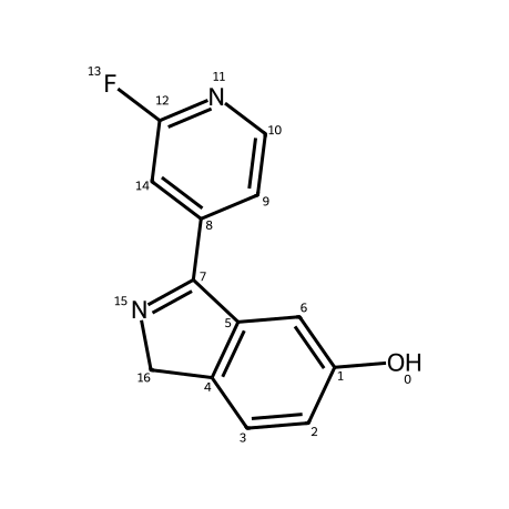 Oc1ccc2c(c1)C(c1ccnc(F)c1)=NC2